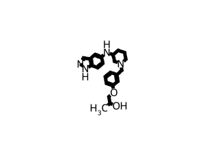 CC(O)COc1cccc(CN2CCCC(Nc3ccc4[nH]ncc4c3)C2)c1